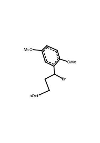 CCCCCCCCCCC(Br)c1cc(OC)ccc1OC